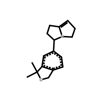 CC1(C)OCc2ccc(C3CCC4=CCCN43)cc21